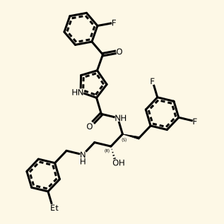 CCc1cccc(CNC[C@@H](O)[C@H](Cc2cc(F)cc(F)c2)NC(=O)c2cc(C(=O)c3ccccc3F)c[nH]2)c1